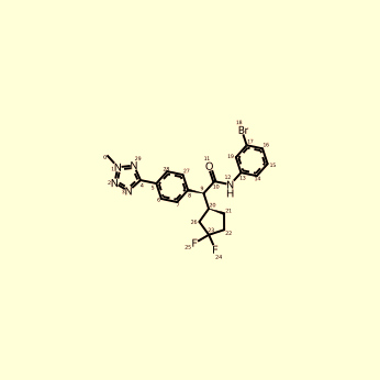 Cn1nnc(-c2ccc([C@@H](C(=O)Nc3cccc(Br)c3)[C@H]3CCC(F)(F)C3)cc2)n1